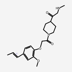 C/C=C/c1ccc(OCC(=O)N2CCC(C(=O)CNC)CC2)c(OC)c1